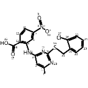 Cc1cc(Nc2cc([N+](=O)[O-])ccc2C(=O)O)nc(SCc2ccccc2Cl)n1